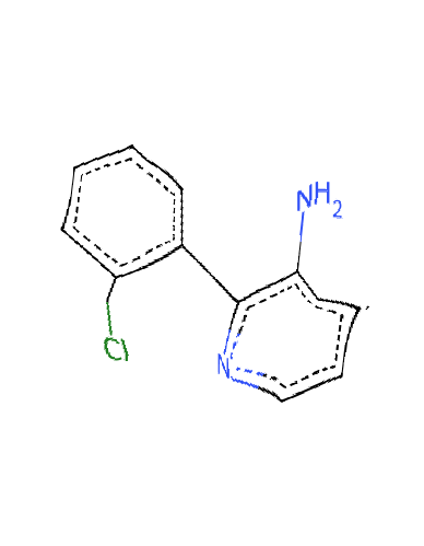 Nc1[c]ccnc1-c1ccccc1Cl